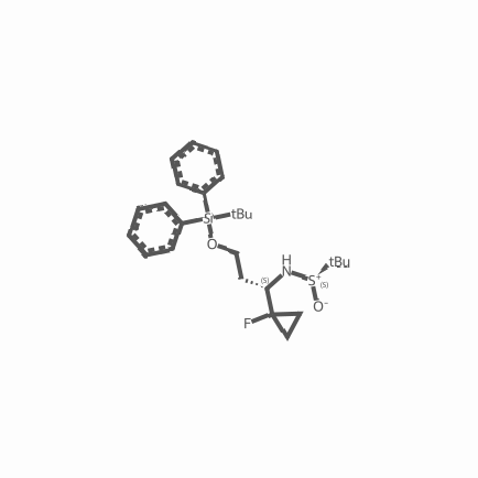 CC(C)(C)[S@@+]([O-])N[C@@H](CCO[Si](c1ccccc1)(c1ccccc1)C(C)(C)C)C1(F)CC1